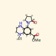 CCN1CCNc2c1cc(C(=O)OC)cc2N1CCCC1=O